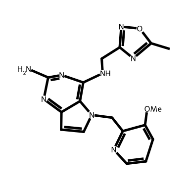 COc1cccnc1Cn1ccc2nc(N)nc(NCc3noc(C)n3)c21